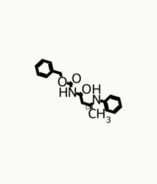 C[C@@H](CC(=O)NC(=O)OCc1ccccc1)Nc1ccccc1